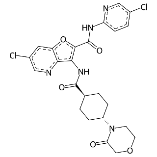 O=C(Nc1ccc(Cl)cn1)c1oc2cc(Cl)cnc2c1NC(=O)[C@H]1CC[C@H](N2CCOCC2=O)CC1